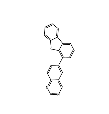 c1ccc2c(c1)sc1c(-c3ccc4ncncc4c3)cccc12